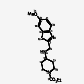 CCOC(=O)N1CCC(NCc2nc3ccc(OC)cc3s2)CC1